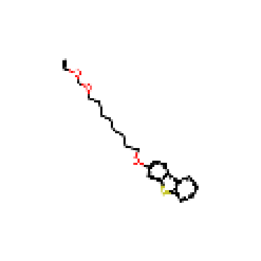 C=COCOCCCCCCCCOc1ccc2c(c1)sc1ccccc12